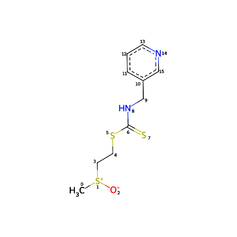 C[S+]([O-])CCSC(=S)NCc1cccnc1